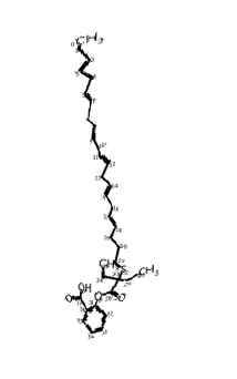 CCC=CCC=CCC=CCC=CCC=CCC=CCCCSC(CC)(CC)C(=O)Oc1ccccc1C(=O)O